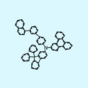 c1ccc(C2(c3ccccc3)c3ccccc3-c3ccc(N(c4ccc(-c5cccc(-c6cccc7ccccc67)c5)cc4)c4ccc5c6ccccc6c6ccccc6c5c4)cc32)cc1